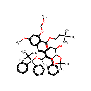 COCOc1cc(OC)cc(/C=C/C[C@@H]2OC(C)(C)O[C@@H]2C(O)/C=C\C(=C\c2ccccc2)[C@H](C)O[Si](c2ccccc2)(c2ccccc2)C(C)(C)C)c1C(=O)OCC[Si](C)(C)C